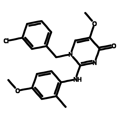 COc1ccc(Nc2nc(=O)c(OC)cn2Cc2cccc(Cl)c2)c(C)c1